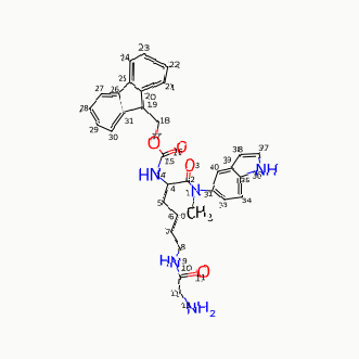 CN(C(=O)C(CCCCNC(=O)CN)NC(=O)OCC1c2ccccc2-c2ccccc21)c1ccc2[nH]ccc2c1